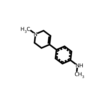 CNc1ccc(C2=CCN(C)CC2)cc1